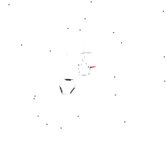 CC(C)(C)N1CC(c2ccccc2)CC1=O